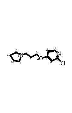 Clc1cc(OCCCN2CCCC2)ccn1